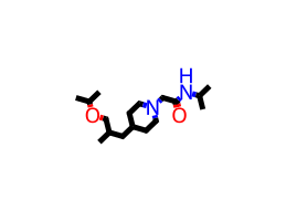 CC(COC(C)C)CC1CCN(CC(=O)NC(C)C)CC1